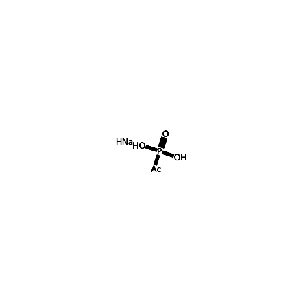 CC(=O)P(=O)(O)O.[NaH]